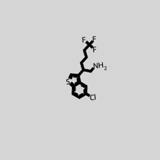 NCC(CCCC(F)(F)F)c1csc2ccc(Cl)cc12